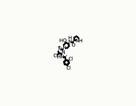 C=N/C(=N\C(N[C@H](C)c1ccc(Cl)cc1Cl)=C(/C)Cl)N1CC[C@H](NC(=O)[C@H]2CCCN2)[C@H](O)C1